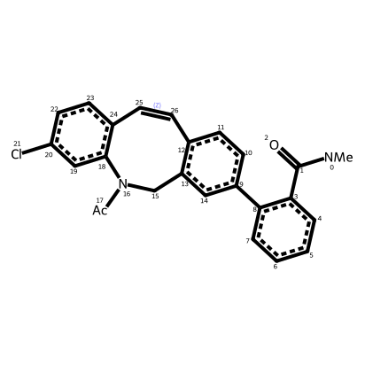 CNC(=O)c1ccccc1-c1ccc2c(c1)CN(C(C)=O)c1cc(Cl)ccc1/C=C\2